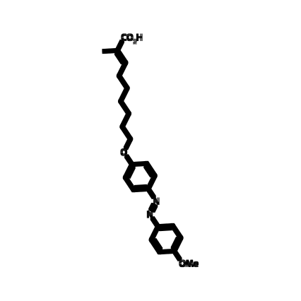 COc1ccc(/N=N/c2ccc(OCCCCCCC=C(C)C(=O)O)cc2)cc1